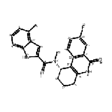 Cc1cccc2[nH]c(C(=O)N(C)[C@H]3CCCc4[nH]c(=O)c5cc(F)ccc5c43)cc12